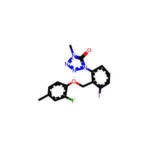 Cc1ccc(OCc2c(I)cccc2-n2nnn(C)c2=O)c(F)c1